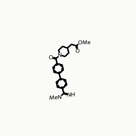 CNC(=N)c1ccc(-c2ccc(C(=O)N3CCC(CC(=O)OC)CC3)cc2)cc1